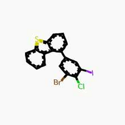 Clc1c(Br)cc(-c2cccc3sc4ccccc4c23)cc1I